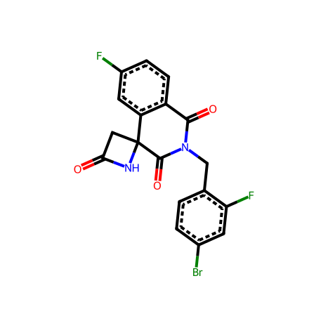 O=C1CC2(N1)C(=O)N(Cc1ccc(Br)cc1F)C(=O)c1ccc(F)cc12